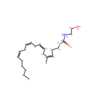 CCCCC/C=C\C/C=C\C/C=C\C/C(C)=C\CCCC(=O)NCCO